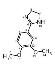 COc1ccc(C2=NCCN2)cc1OC